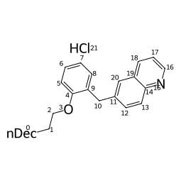 CCCCCCCCCCCCOc1ccccc1Cc1ccc2ncccc2c1.Cl